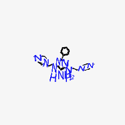 CN1CCN(CCNc2nc(-c3ccccc3)nc(NCCN3CCN(C)CC3)c2N)CC1